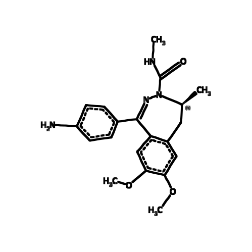 CNC(=O)N1N=C(c2ccc(N)cc2)c2cc(OC)c(OC)cc2C[C@@H]1C